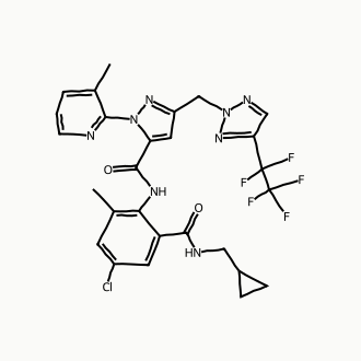 Cc1cccnc1-n1nc(Cn2ncc(C(F)(F)C(F)(F)F)n2)cc1C(=O)Nc1c(C)cc(Cl)cc1C(=O)NCC1CC1